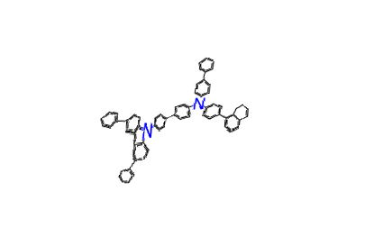 C1=Cc2cccc(-c3ccc(N(c4ccc(-c5ccccc5)cc4)c4ccc(-c5ccc(-n6c7ccc(-c8ccccc8)cc7c7cc(-c8ccccc8)ccc76)cc5)cc4)cc3)c2CC1